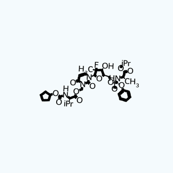 CC(C)OC(=O)[C@H](C)NP(=O)(OC[C@H]1O[C@@H](n2ccc(=O)n(COC(=O)[C@@H](NC(=O)OC3CCCC3)C(C)C)c2=O)[C@](C)(F)[C@@H]1O)Oc1ccccc1